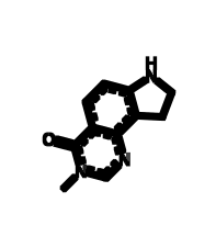 Cn1cnc2c3c(ccc2c1=O)NCC3